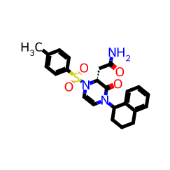 Cc1ccc(S(=O)(=O)N2C=CN(C3CCCc4ccccc43)C(=O)[C@H]2CC(N)=O)cc1